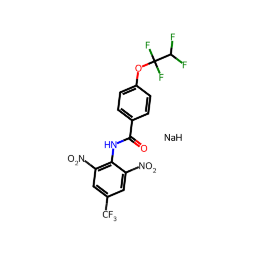 O=C(Nc1c([N+](=O)[O-])cc(C(F)(F)F)cc1[N+](=O)[O-])c1ccc(OC(F)(F)C(F)F)cc1.[NaH]